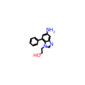 Nc1cc(-c2ccccc2)c2c(c1)ncn2CCO